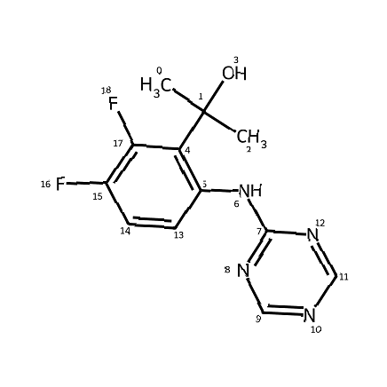 CC(C)(O)c1c(Nc2ncncn2)ccc(F)c1F